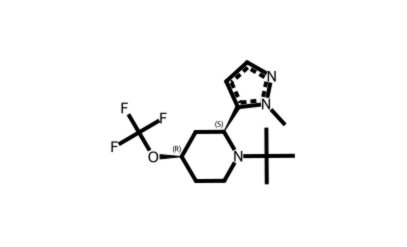 Cn1nccc1[C@@H]1C[C@H](OC(F)(F)F)CCN1C(C)(C)C